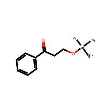 CC(C)[Si](OCCC(=O)c1ccccc1)(C(C)C)C(C)C